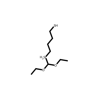 CCOC(OCC)[SiH2]CCCCS